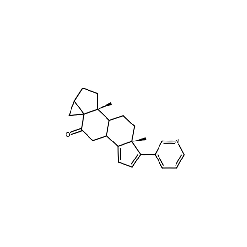 C[C@]12CCC3C(CC(=O)C45CC4CC[C@]35C)C1=CC=C2c1cccnc1